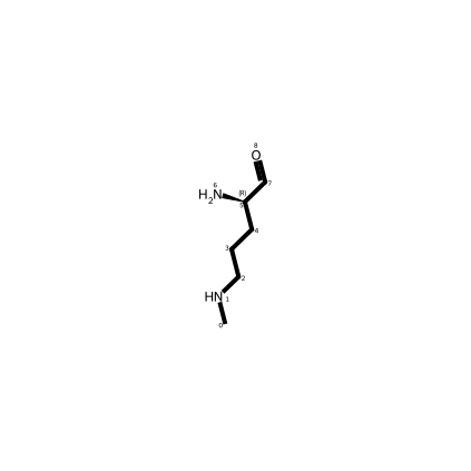 CNCCC[C@@H](N)C=O